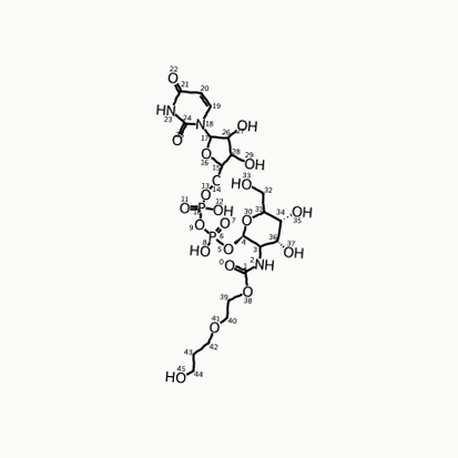 O=C(NC1[C@@H](OP(=O)(O)OP(=O)(O)OCC2OC(n3ccc(=O)[nH]c3=O)C(O)C2O)OC(CO)[C@H](O)[C@@H]1O)OCCOCCCO